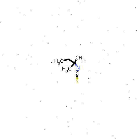 CCC(C)(C)N=C=S